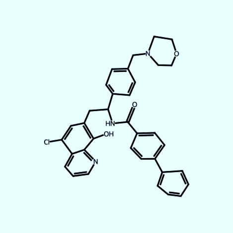 O=C(NC(Cc1cc(Cl)c2cccnc2c1O)c1ccc(CN2CCOCC2)cc1)c1ccc(-c2ccccc2)cc1